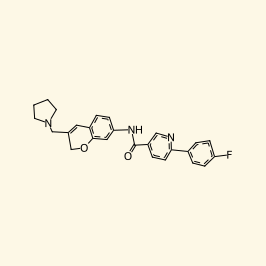 O=C(Nc1ccc2c(c1)OCC(CN1CCCC1)=C2)c1ccc(-c2ccc(F)cc2)nc1